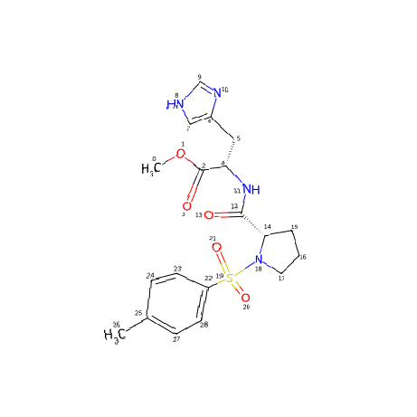 COC(=O)[C@H](Cc1c[nH]cn1)NC(=O)[C@@H]1CCCN1S(=O)(=O)c1ccc(C)cc1